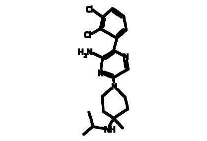 CC(C)NC1(C)CCN(c2cnc(-c3cccc(Cl)c3Cl)c(N)n2)CC1